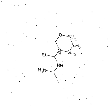 CCC(NC(C)N)[SiH]1CO[SiH2][SiH2][SiH2]1